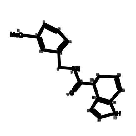 COc1cccc(CNC(=O)C2CC=Cc3[nH]ccc32)c1